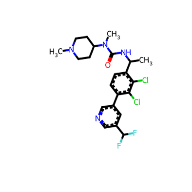 CC(NC(=O)N(C)C1CCN(C)CC1)c1ccc(-c2cncc(C(F)F)c2)c(Cl)c1Cl